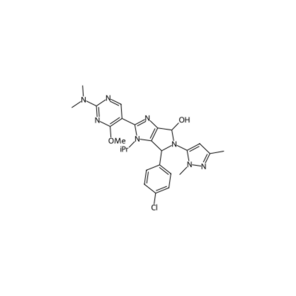 COc1nc(N(C)C)ncc1-c1nc2c(n1C(C)C)C(c1ccc(Cl)cc1)N(c1cc(C)nn1C)C2O